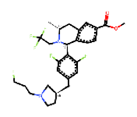 COC(=O)c1ccc2c(c1)C[C@@H](C)N(CC(F)(F)F)[C@@H]2c1c(F)cc(C[C@H]2CCN(CCCF)C2)cc1F